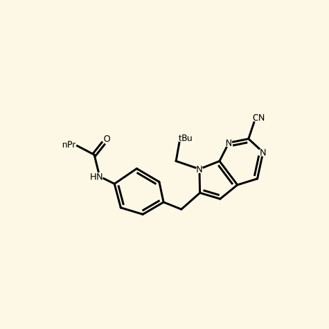 CCCC(=O)Nc1ccc(Cc2cc3cnc(C#N)nc3n2CC(C)(C)C)cc1